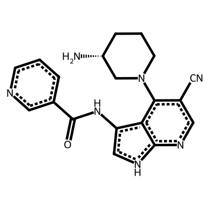 N#Cc1cnc2[nH]cc(NC(=O)c3cccnc3)c2c1N1CCC[C@@H](N)C1